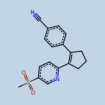 CS(=O)(=O)c1ccc(C2=C(c3ccc(C#N)cc3)CCC2)nc1